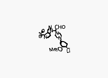 COc1cc(N2CCN(C(C=O)n3ncc4c(S(C)(=O)=O)nccc43)CC2)ccc1Cl